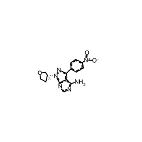 Nc1ncnc2c1c(-c1ccc([N+](=O)[O-])cc1)nn2[C@@H]1CCOC1